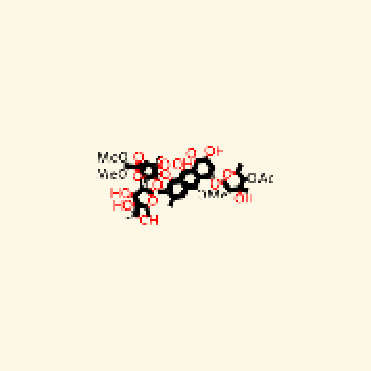 COc1c2c(c(O)c3c(O[C@]4(OC5CC(O)C(O)([C@@H](C)O)C(C)O5)[C@@H]5CC6(OC6(C(OC)OC)O5)[C@]45CO5)c(C)c(C)cc13)C(=O)[C@@H](O)C[C@@H]2OC1CC(C)(O)C(OC(C)=O)C(C)O1